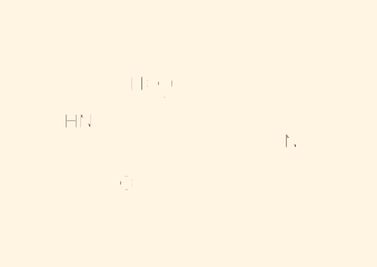 CN(C)c1ccc(C2CNCCO2)c(C(=O)O)c1